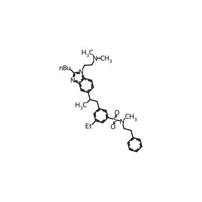 CCCCc1nc2cc(C(C)Cc3cc(CC)cc(S(=O)(=O)N(C)CCc4ccccc4)c3)ccc2n1CCN(C)C